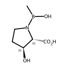 CB(O)N1CC[C@H](O)[C@H]1C(=O)O